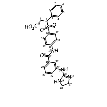 O=C(O)C[C@@H](c1ccccc1)S(=O)(=O)c1ccc(NC(=O)c2cccc(NC3=NCCN3)c2)cc1